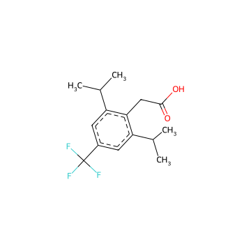 CC(C)c1cc(C(F)(F)F)cc(C(C)C)c1CC(=O)O